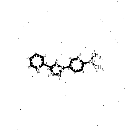 CN(C)c1ccc(-n2nnc(-c3ccccn3)n2)cn1